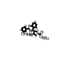 CC(C)(C)OC(=O)N1CC(=N)/C(=C(\NCc2cccc(O)c2)c2ccccc2F)C1